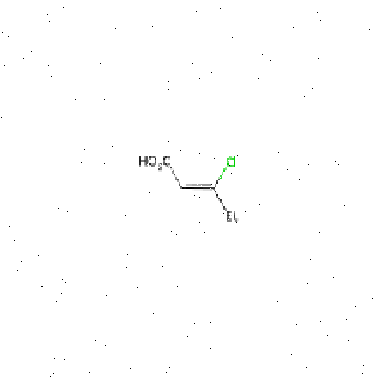 CC/C(Cl)=C/C(=O)O